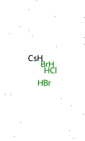 Br.Br.Cl.[CsH]